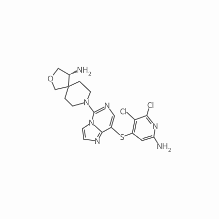 Nc1cc(Sc2cnc(N3CCC4(CC3)COC[C@H]4N)n3ccnc23)c(Cl)c(Cl)n1